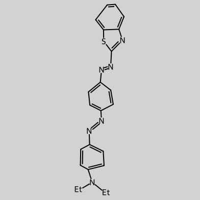 CCN(CC)c1ccc(N=Nc2ccc(N=Nc3nc4ccccc4s3)cc2)cc1